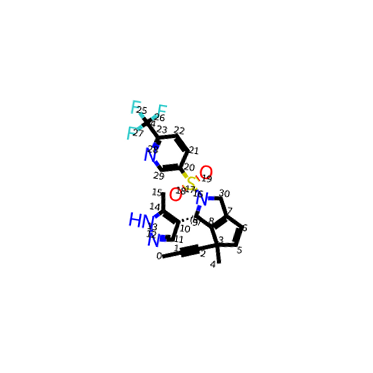 CC#CC1(C)C=CC2=C1[C@H](c1cn[nH]c1C)N(S(=O)(=O)c1ccc(C(F)(F)F)nc1)C2